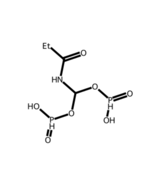 CCC(=O)NC(O[PH](=O)O)O[PH](=O)O